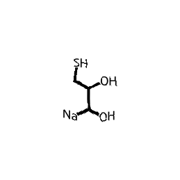 O[CH]([Na])C(O)CS